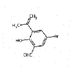 C=C(C)c1cc(Br)cc(C=O)c1O